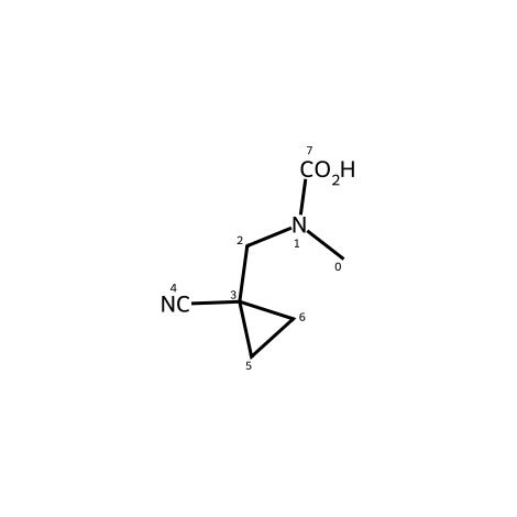 CN(CC1(C#N)CC1)C(=O)O